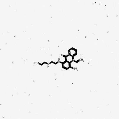 C=Cn1c2ccccc2c(=O)c2c(NCCNCCO)ccc(N)c21